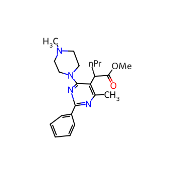 CCCC(C(=O)OC)c1c(C)nc(-c2ccccc2)nc1N1CCN(C)CC1